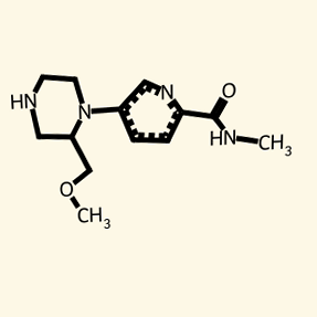 CNC(=O)c1ccc(N2CCNCC2COC)cn1